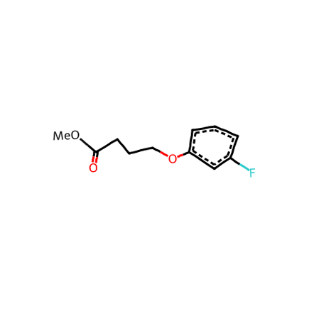 COC(=O)CCCOc1cccc(F)c1